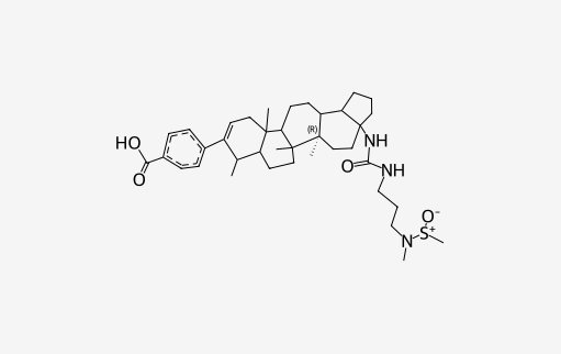 CC1C(c2ccc(C(=O)O)cc2)=CCC2(C)C1CCC1(C)C2CCC2C3CCCC3(NC(=O)NCCCN(C)[S+](C)[O-])CC[C@]21C